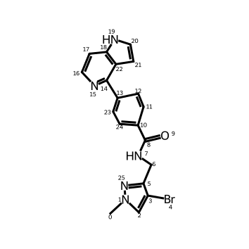 Cn1cc(Br)c(CNC(=O)c2ccc(-c3nccc4[nH]ccc34)cc2)n1